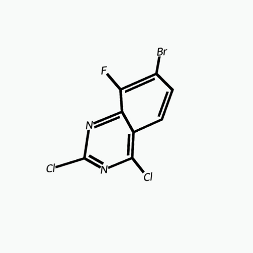 Fc1c(Br)ccc2c(Cl)nc(Cl)nc12